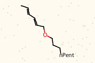 C/C=C/C=C/COCCCCCCCC